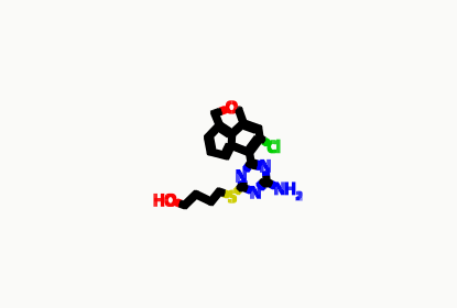 Nc1nc(SCCCCO)nc(-c2c(Cl)cc3c4c(cccc24)COC3)n1